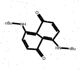 CCCCNC1=C2C(=O)C=CC(NCCCC)=C2C(=O)C=C1